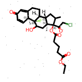 CCOC(=O)CCCC(=O)O[C@]1(C(=O)CCl)C(C)C[C@H]2[C@@H]3CCC4=CC(=O)C=C[C@]4(C)[C@@]3(F)C(O)C[C@@]21C